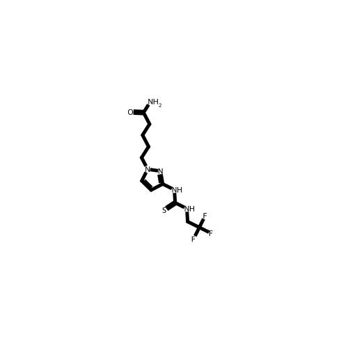 NC(=O)CCCCn1ccc(NC(=S)NCC(F)(F)F)n1